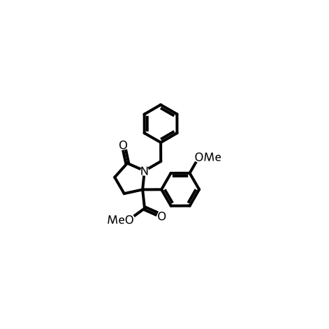 COC(=O)C1(c2cccc(OC)c2)CCC(=O)N1Cc1ccccc1